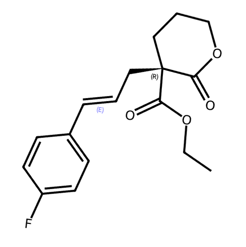 CCOC(=O)[C@]1(C/C=C/c2ccc(F)cc2)CCCOC1=O